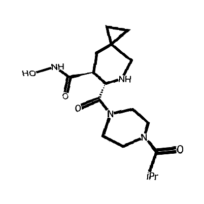 CC(C)C(=O)N1CCN(C(=O)[C@H]2NCC3(CC3)C[C@@H]2C(=O)NO)CC1